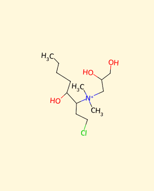 CCCCC(O)C(CCCl)[N+](C)(C)CC(O)CO